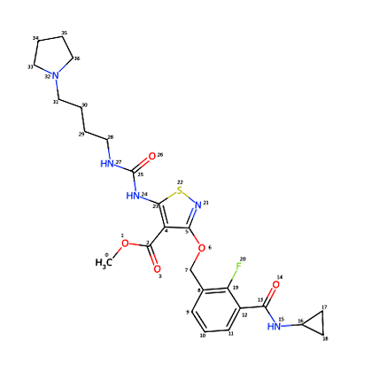 COC(=O)c1c(OCc2cccc(C(=O)NC3CC3)c2F)nsc1NC(=O)NCCCCN1CCCC1